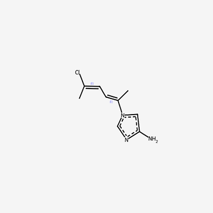 C/C(Cl)=C\C=C(/C)n1cnc(N)c1